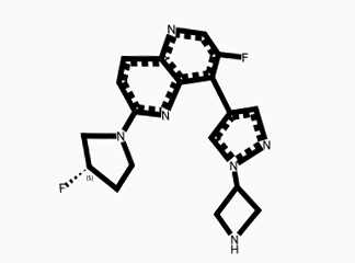 Fc1cnc2ccc(N3CC[C@H](F)C3)nc2c1-c1cnn(C2CNC2)c1